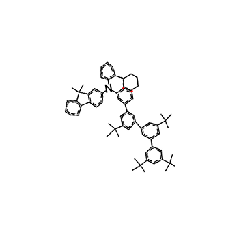 CC(C)(C)c1cc(-c2cccc(N(c3ccc4c(c3)C(C)(C)c3ccccc3-4)c3ccccc3C3CCCCC3)c2)cc(-c2cc(-c3cc(C(C)(C)C)cc(C(C)(C)C)c3)cc(C(C)(C)C)c2)c1